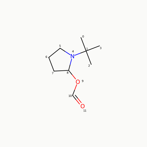 CC(C)(C)N1CCCC1OC=O